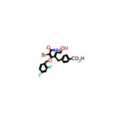 O=C(O)c1ccc(Cc2c(CO)[nH]c(=O)c(Br)c2OCc2ccc(F)cc2F)cc1